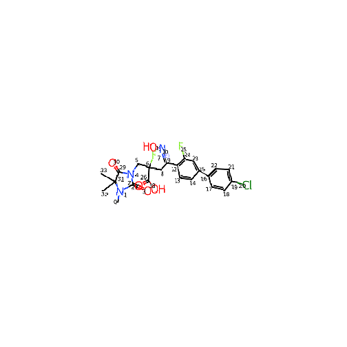 CN1C(=O)N(CC(F)(C/C(=N\O)c2ccc(-c3ccc(Cl)cc3)cc2F)C(=O)O)C(=O)C1(C)C